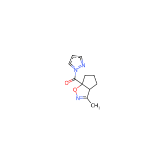 CC1=NOC2(C(=O)n3cccn3)CCCC12